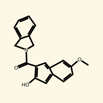 COc1ccc2cc(O)c(C(=O)N3Cc4ccccc4C3)cc2c1